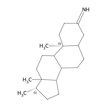 C[C@H]1CCC2C3CCC4CC(=N)CC[C@]4(C)C3CCC21C